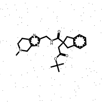 CN1CCc2nc(CNC(=O)C3(CC(=O)OC(C)(C)C)Cc4ccccc4C3)sc2C1